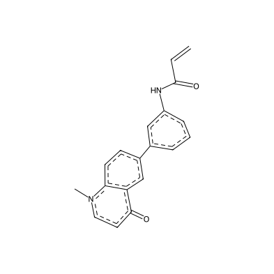 C=CC(=O)Nc1cccc(-c2ccc3c(c2)c(=O)ccn3C)c1